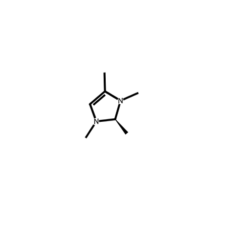 CC1=CN(C)[C@H](C)N1C